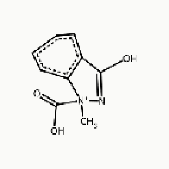 C[N+]1(C(=O)O)N=C(O)c2ccccc21